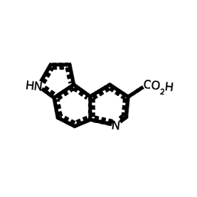 O=C(O)c1cnc2ccc3[nH]ccc3c2c1